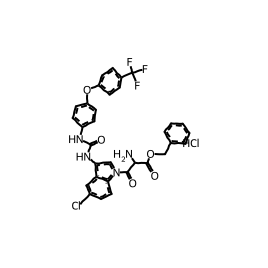 Cl.NC(C(=O)OCc1ccccc1)C(=O)n1cc(NC(=O)Nc2ccc(Oc3ccc(C(F)(F)F)cc3)cc2)c2cc(Cl)ccc21